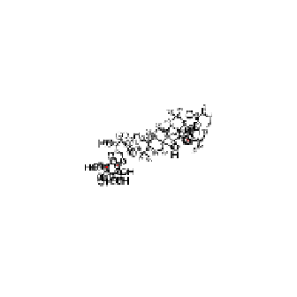 C/C=C(/C)C(=O)O[C@H]1[C@H](OC(=O)/C(C)=C\C)[C@@]2(CO)C(CC1(C)C)C1=CCC3[C@@]4(C)CC[C@H](O[C@@H]5OC(C(=O)O)[C@@H](O)[C@@H](O[C@@H]6O[C@@H](CO)C(O)[C@@H]6O)C5O[C@@H]5OC(CO)[C@H](CO)[C@@H](O)C5O)C(C)(C)C4CC[C@@]3(C)[C@]1(C)[C@@H](O)[C@H]2O